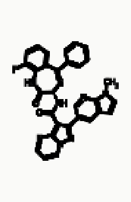 Cn1ccc2cc(-c3nn4cccnc4c3C(=O)N[C@H]3N=C(c4ccccc4)c4cccc(F)c4NC3=O)cnc21